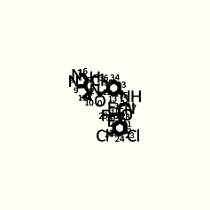 O=C(NC1(c2ccnnc2)CC1)c1cc(NC2=NOC(c3cc(Cl)cc(Cl)c3)(C(F)(F)F)C2)ccc1Cl